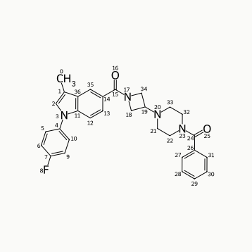 Cc1cn(-c2ccc(F)cc2)c2ccc(C(=O)N3CC(N4CCN(C(=O)c5ccccc5)CC4)C3)cc12